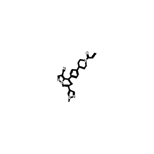 C=CC(=O)N1CC=C(c2ccc(-c3cc(-c4cnn(C)c4)cn4ncc(C#N)c34)cc2)CC1